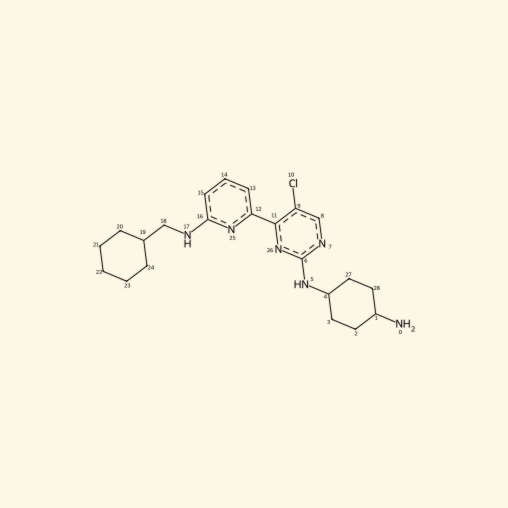 NC1CCC(Nc2ncc(Cl)c(-c3cccc(NCC4CCCCC4)n3)n2)CC1